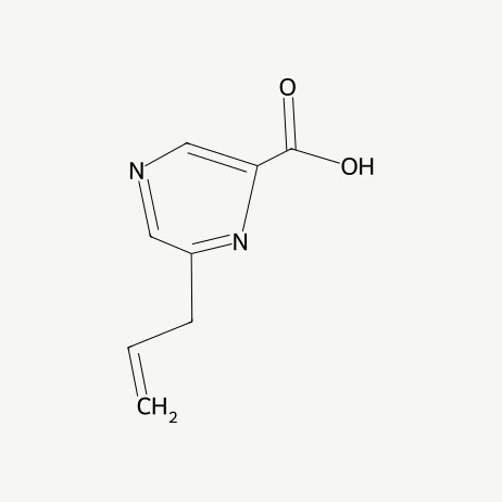 C=CCc1cncc(C(=O)O)n1